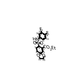 CCOC(=O)C1=CC2(CCC1S(=O)(=O)Nc1ccc(F)c(F)c1)OCCO2